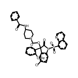 COc1ccccc1C1(OC(=O)N2CCC(NC(=O)c3ccccc3)CC2)C(=O)N(S(=O)(=O)c2cccc3cccnc23)c2ccc(Cl)cc21